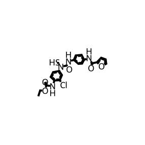 CCOC(=O)Nc1ccc(N(S)C(=O)Nc2ccc(NC(=O)c3ccco3)cc2)cc1Cl